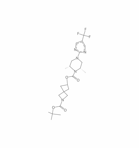 C[C@@H]1CN(c2ncc(C(F)(F)F)cn2)C[C@H](C)N1C(=O)OC1CC2(C1)CN(C(=O)OC(C)(C)C)C2